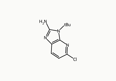 CC(C)(C)n1c(N)nc2ccc(Cl)nc21